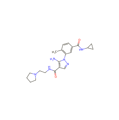 Cc1ccc(C(=O)NC2CC2)cc1-n1ncc(C(=O)NCCN2CCCC2)c1N